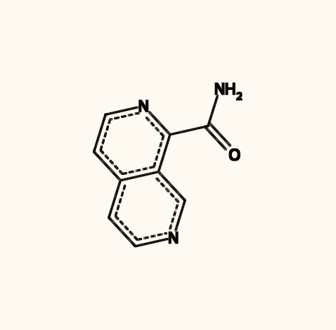 NC(=O)c1nccc2ccncc12